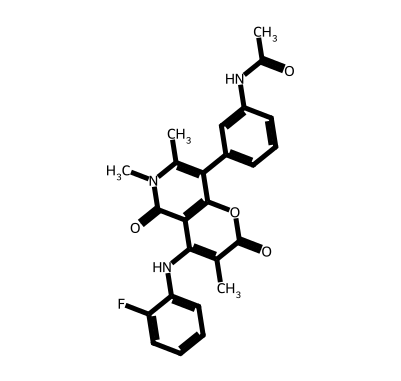 CC(=O)Nc1cccc(-c2c(C)n(C)c(=O)c3c(Nc4ccccc4F)c(C)c(=O)oc23)c1